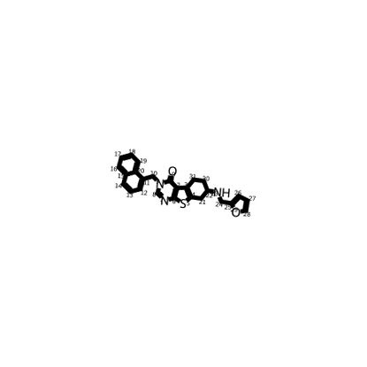 O=c1c2c3c(sc2ncn1Cc1cccc2ccccc12)CC(NCc1ccco1)CC3